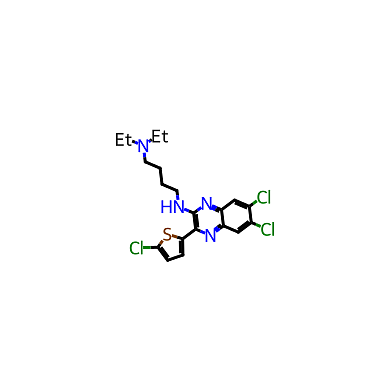 CCN(CC)CCCCNc1nc2cc(Cl)c(Cl)cc2nc1-c1ccc(Cl)s1